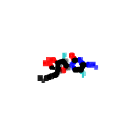 C=C=C[C@]1(CO)O[C@@H](n2cc(F)c(N)nc2=O)[C@@H](F)[C@@H]1O